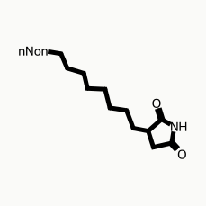 CCCCCCCCCCCCCCCCCC1CC(=O)NC1=O